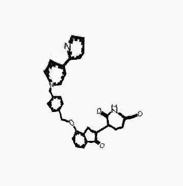 O=C1CCC(C2Cc3c(OCc4ccc(C[n+]5ccc(-c6ccccn6)cc5)cc4)cccc3C2=O)C(=O)N1